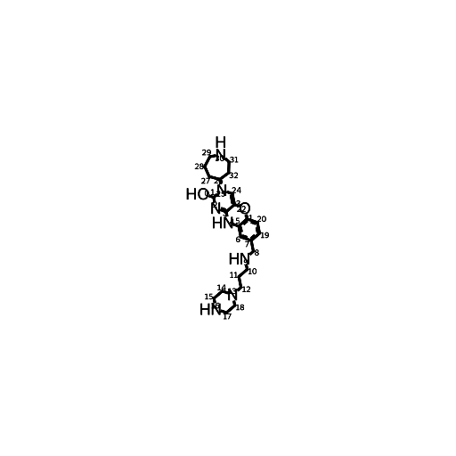 OC1N=C2Nc3cc(CNCCCN4CCNCC4)ccc3OC2=CN1C1CCCNCC1